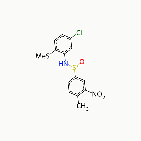 CSc1ccc(Cl)cc1N[S+]([O-])c1ccc(C)c([N+](=O)[O-])c1